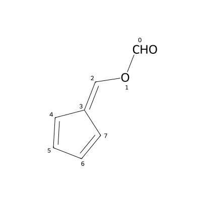 O=COC=C1C=CC=C1